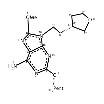 CCC[C@@H](C)Oc1nc(N)c2nc(OC)n(CC[C@@H]3CCOC3)c2n1